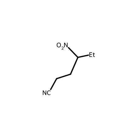 CCC(CCC#N)[N+](=O)[O-]